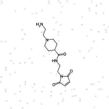 NCCN1CCC(C(=O)NCCN2C(=O)C=CC2=O)CC1